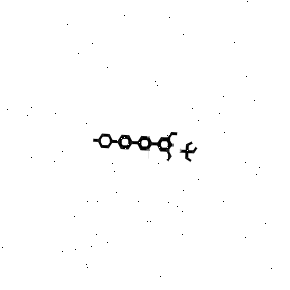 CCc1cc(-c2c(F)cc(-c3ccc(C4CCC(C)CC4)cc3)cc2F)cc(CC)c1OCC(CC)(CC)CC